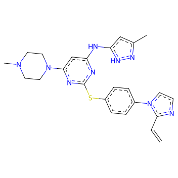 C=Cc1nccn1-c1ccc(Sc2nc(Nc3cc(C)n[nH]3)cc(N3CCN(C)CC3)n2)cc1